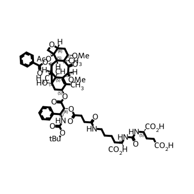 CO[C@H]1C(=O)[C@]2(C)[C@@H](OC)C[C@H]3OC[C@@]3(OC(C)=O)[C@H]2[C@]2(OC(=O)c3ccccc3)[C@@H](C)[C@@]3(C)C1=C(C)[C@@H](OC(=O)[C@H](OC(=O)CCC(=O)NCCCC[C@H](NC(=O)N[C@@H](CCC(=O)O)C(=O)O)C(=O)O)[C@@H](NC(=O)OC(C)(C)C)c1ccccc1)C[C@@]23O